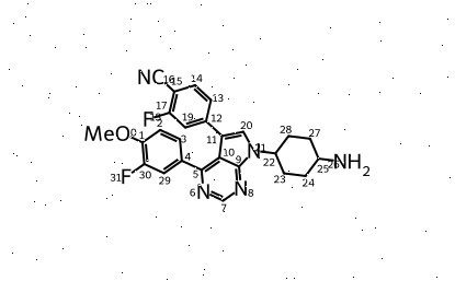 COc1ccc(-c2ncnc3c2c(-c2ccc(C#N)c(F)c2)cn3C2CCC(N)CC2)cc1F